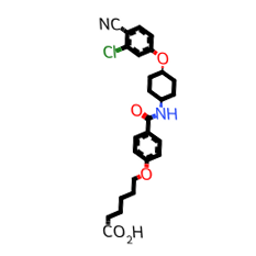 N#Cc1ccc(O[C@H]2CC[C@H](NC(=O)c3ccc(OCCCCCC(=O)O)cc3)CC2)cc1Cl